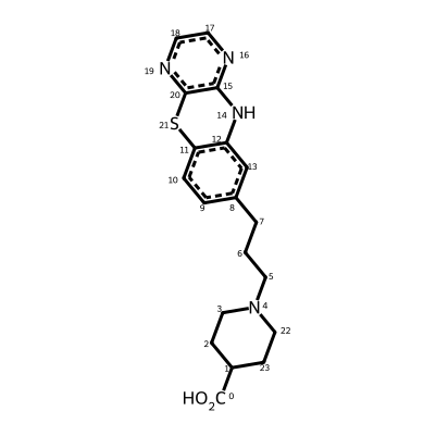 O=C(O)C1CCN(CCCc2ccc3c(c2)Nc2nccnc2S3)CC1